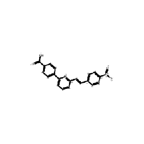 O=C(O)c1ccc(-c2cccc(/C=C/c3ccc([N+](=O)[O-])cc3)n2)cc1